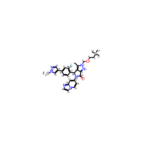 Cc1c2c(nn1COCC[Si](C)(C)C)C(=O)N(c1ccn3ccnc3c1)C2c1ccc(-c2cnn(C(F)(F)F)c2)cc1F